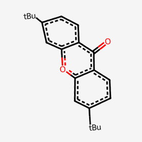 CC(C)(C)c1ccc2c(=O)c3ccc(C(C)(C)C)cc3oc2c1